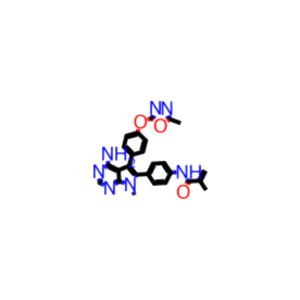 C=C(C)C(=O)Nc1ccc(-c2c(-c3ccc(Oc4nnc(C)o4)cc3)c3c(N)ncnc3n2C)cc1